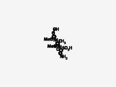 COc1cc(OCCO)ccc1/N=N/c1cc(OC)c(N/N=C2\C(=O)c3ccc(N)cc3C=C2S(=O)(=O)O)cc1C